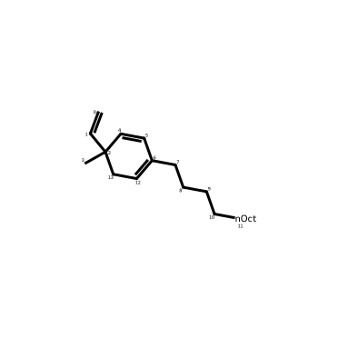 C=CC1(C)C=CC(CCCCCCCCCCCC)=CC1